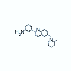 CC1CCCCN1Cc1ccc2nc(-c3cccc(N)c3)ccc2c1